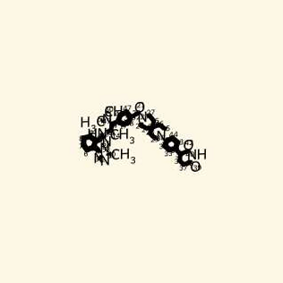 Cc1nnc2c3ccccc3c(N[C@@H](C)[C@H](c3ccc(C(=O)N4CCC5(CC4)CCN(c4ccc(C6CCC(=O)NC6=O)cc4)CC5)cc3)N(C)C)nn12